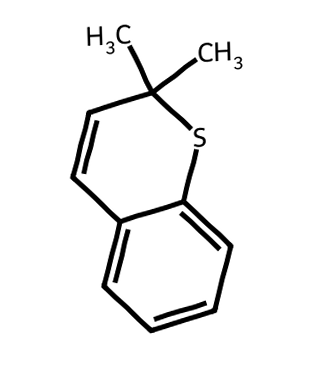 CC1(C)C=Cc2ccccc2S1